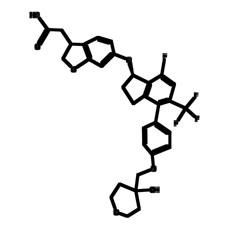 O=C(O)CC1COc2cc(O[C@@H]3CCc4c(-c5ccc(OCC6(O)CCOCC6)cc5)c(C(F)(F)F)cc(F)c43)ccc21